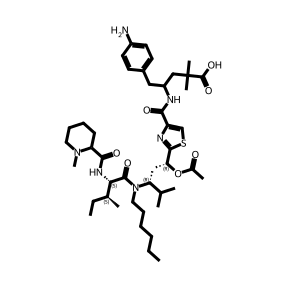 CCCCCCN(C(=O)[C@@H](NC(=O)C1CCCCN1C)[C@@H](C)CC)[C@H](C[C@@H](OC(C)=O)c1nc(C(=O)NC(Cc2ccc(N)cc2)CC(C)(C)C(=O)O)cs1)C(C)C